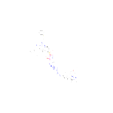 Cc1cc(CN2CCN(c3ccc(C(=O)NS(=O)(=O)c4ccc(NCCSc5ccccc5)c([N+](=O)[O-])c4)nn3)CC2)ccc1-c1cncc(O)c1